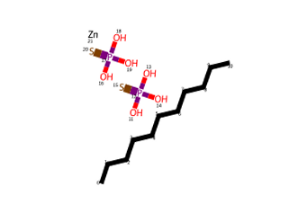 CCCCCCCCCCC.OP(O)(O)=S.OP(O)(O)=S.[Zn]